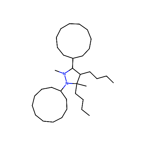 CCCCC1C(C2CCCCCCCCCC2)N(C)N(C2CCCCCCCCCC2)C1(C)CCCC